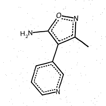 Cc1noc(N)c1-c1cccnc1